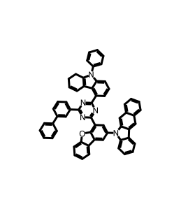 C1=Cc2c(n(-c3ccccc3)c3cccc(-c4nc(-c5cccc(-c6ccccc6)c5)nc(-c5cc(-n6c7ccccc7c7cc8ccccc8cc76)cc6c5oc5ccccc56)n4)c23)CC1